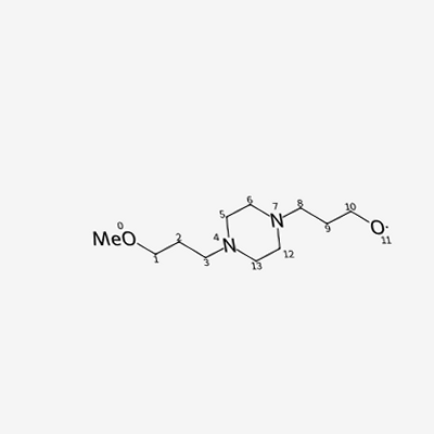 COCCCN1CCN(CCC[O])CC1